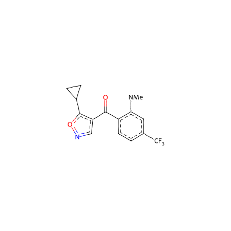 CNc1cc(C(F)(F)F)ccc1C(=O)c1cnoc1C1CC1